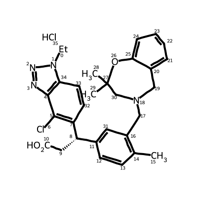 CCn1nnc2c(Cl)c([C@@H](CC(=O)O)c3ccc(C)c(CN4Cc5ccccc5OC(C)(C)C4)c3)ccc21.Cl